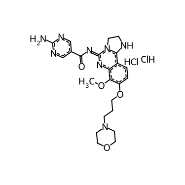 COc1c(OCCCN2CCOCC2)ccc2c3n(c(=NC(=O)c4cnc(N)nc4)nc12)CCN3.Cl.Cl